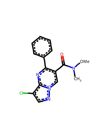 CON(C)C(=O)c1cn2ncc(Cl)c2nc1-c1ccccc1